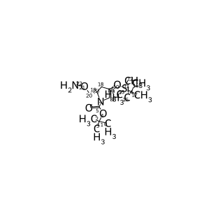 CC(C)(C)OC(=O)N1C[C@H](O[Si](C)(C)C(C)(C)C)C[C@H]1CON